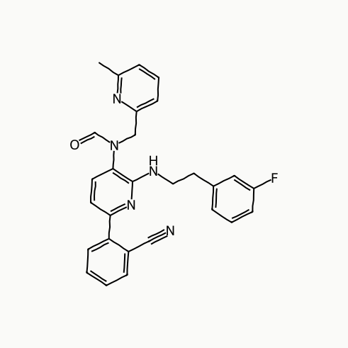 Cc1cccc(CN(C=O)c2ccc(-c3ccccc3C#N)nc2NCCc2cccc(F)c2)n1